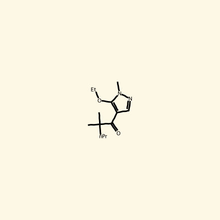 CCCC(C)(C)C(=O)c1cnn(C)c1OCC